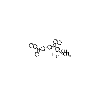 CCC(C)(C)c1ccc(N(c2ccc(-c3ccc(N(c4ccccc4)c4ccc5ccccc5c4)cc3)cc2)c2cccc3ccccc23)cc1